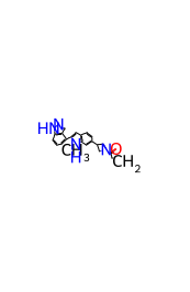 C=CC(=O)N1CC(c2ccc3cc(-c4c(C)ccc5[nH]ncc45)[nH]c3c2)C1